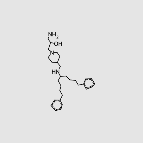 NCC(O)CN1CCC(CNC(CCCCc2ccccc2)CCCCc2ccccc2)CC1